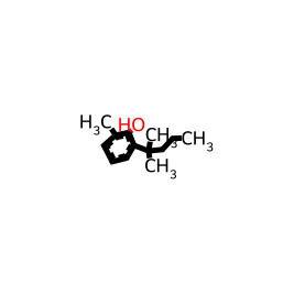 CCCC(C)(C)c1cccc(C)c1O